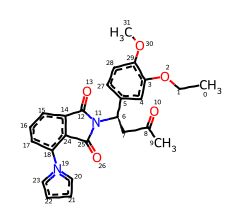 CCOc1cc([C@@H](CC(C)=O)N2C(=O)c3cccc(-n4cccc4)c3C2=O)ccc1OC